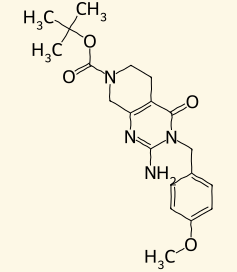 COc1ccc(Cn2c(N)nc3c(c2=O)CCN(C(=O)OC(C)(C)C)C3)cc1